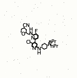 CCCN(CCC)[C@H]1CC[C@H](Nc2cc(-c3ccc(F)c(NCC4CC(C#N)CCO4)n3)c(Cl)cn2)CC1